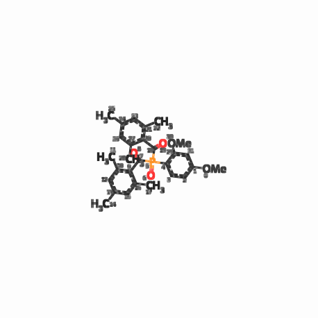 COc1ccc(P(=O)(C(=O)c2c(C)cc(C)cc2C)C(=O)c2c(C)cc(C)cc2C)c(OC)c1